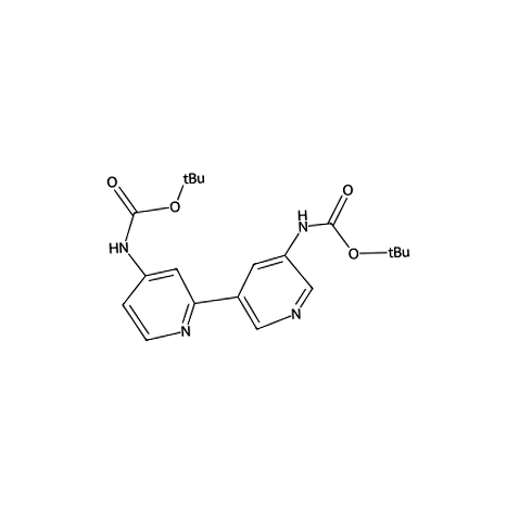 CC(C)(C)OC(=O)Nc1cncc(-c2cc(NC(=O)OC(C)(C)C)ccn2)c1